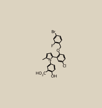 Cc1ccc(-c2cc(Cl)ccc2OCc2ccc(Br)cc2F)n1-c1ccc(O)c(C(=O)O)c1